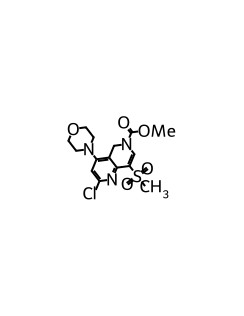 COC(=O)N1C=C(S(C)(=O)=O)c2nc(Cl)cc(N3CCOCC3)c2C1